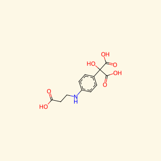 O=C(O)CCNc1ccc(C(O)(C(=O)O)C(=O)O)cc1